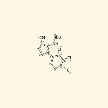 CCCCNc1c(C#N)cnn1-c1ccc(Cl)c(Cl)c1Cl